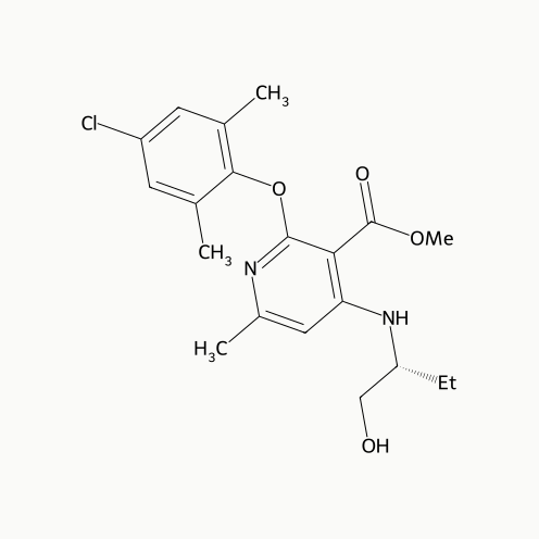 CC[C@H](CO)Nc1cc(C)nc(Oc2c(C)cc(Cl)cc2C)c1C(=O)OC